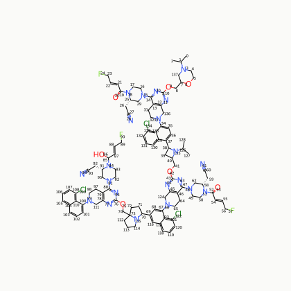 CC(C)N1CCOC(COc2nc3c(c(N4CCN(C(=O)/C=C/CF)[C@@H](CC#N)C4)n2)CCN(c2ccc(C4CC(COc5nc6c(c(N7CCN(C(=O)/C=C/CF)[C@@H](CC#N)C7)n5)CCN(c5cc(C7CCC8(COc9nc%10c(c(N%11CCN(C(O)/C=C/CF)[C@@H](CC#N)C%11)n9)CCN(c9cccc%11cccc(Cl)c9%11)C%10)CCCN78)cc7cccc(Cl)c57)C6)N4C(C)C)c4cccc(Cl)c24)C3)C1